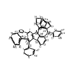 c1ccc(-c2c3c(cc4c2c2cccc(N(c5ccccc5)c5ccccc5)c2n4-c2ccccc2)oc2ccccc23)cc1